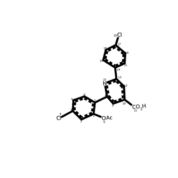 CC(=O)Oc1cc(Cl)ccc1-c1cc(C(=O)O)cc(-c2ccc(Cl)cc2)n1